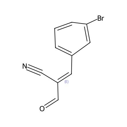 N#C/C(C=O)=C\c1cccc(Br)c1